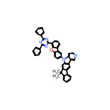 CC1(C)c2ccccc2-c2cc3c4cnccc4n(-c4ccc5oc6c(-c7nc(-c8ccccc8)nc(-c8ccccc8)n7)cccc6c5c4)c3cc21